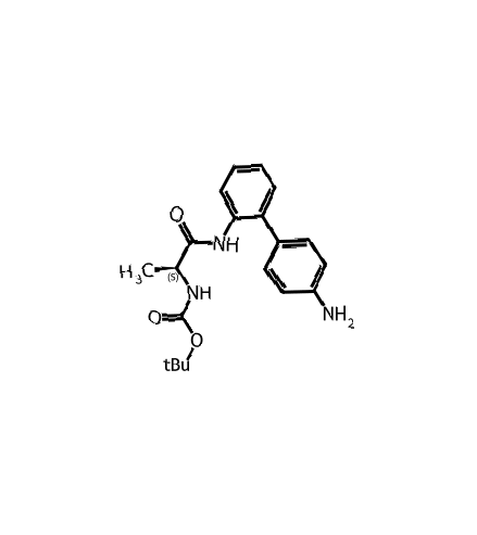 C[C@H](NC(=O)OC(C)(C)C)C(=O)Nc1ccccc1-c1ccc(N)cc1